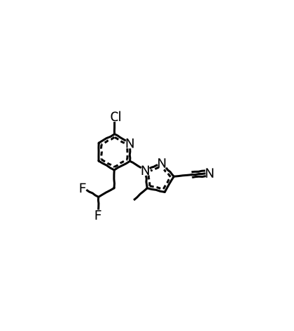 Cc1cc(C#N)nn1-c1nc(Cl)ccc1CC(F)F